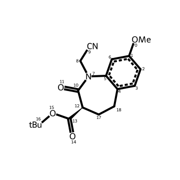 COc1ccc2c(c1)N(CC#N)C(=O)[C@H](C(=O)OC(C)(C)C)CC2